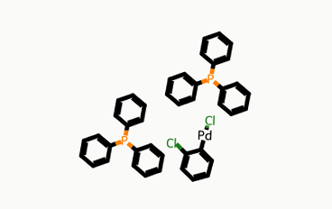 [Cl][Pd][c]1ccccc1Cl.c1ccc(P(c2ccccc2)c2ccccc2)cc1.c1ccc(P(c2ccccc2)c2ccccc2)cc1